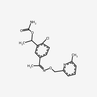 CC(=NOCc1cccc(C)n1)c1ccc(Cl)c(C(C)OC(N)=O)c1